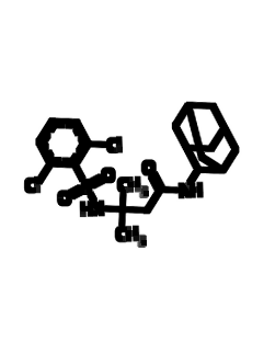 CC(C)(CC(=O)NC1C2CC3CC(C2)CC1C3)NS(=O)(=O)c1c(Cl)cccc1Cl